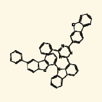 C1=CC2Oc3c(cccc3-n3c4ccccc4c4cccc(-c5nc(-c6ccccc6)nc(-c6ccc7c(c6)oc6ccccc67)n5)c43)C2C=C1c1ccccc1